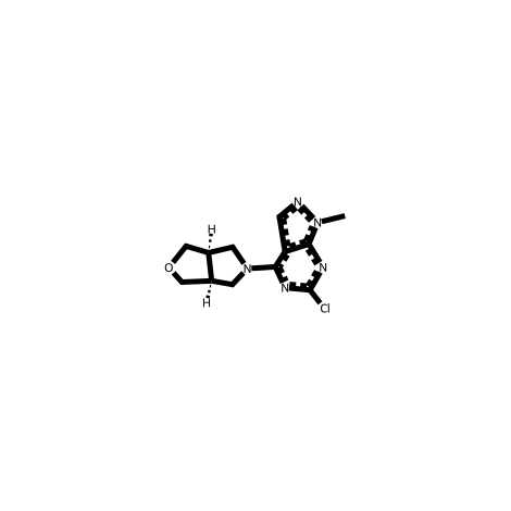 Cn1ncc2c(N3C[C@H]4COC[C@H]4C3)nc(Cl)nc21